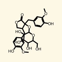 COc1cc(CC2COC(=O)C2(Cc2ccc(O)c(OC)c2)OC2OC(CO)C(O)C(O)C2O)ccc1O